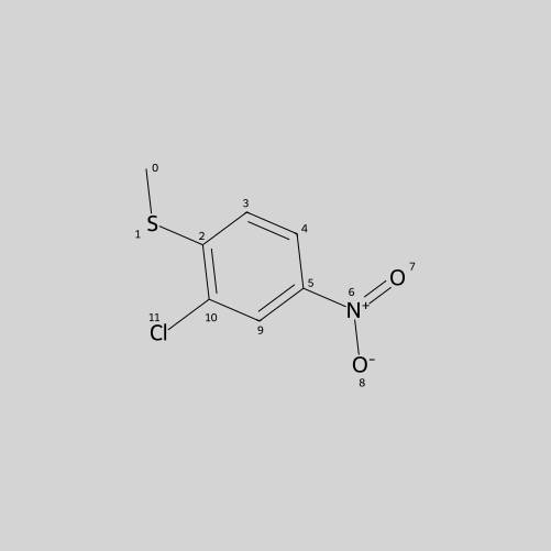 CSc1ccc([N+](=O)[O-])cc1Cl